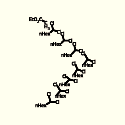 CCCCCCC(Cl)Cl.CCCCCCC(Cl)Cl.CCCCCCC(Cl)Cl.CCCCCCC(Cl)Cl.CCCCCCC(Cl)Cl.CCCCCCC(Cl)Cl.CCCCCCC(Cl)Cl.CCCCCCC(Cl)Cl.CCOC(C)=O